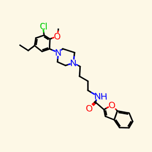 CCc1cc(Cl)c(OC)c(N2CCN(CCCCNC(=O)c3cc4ccccc4o3)CC2)c1